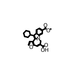 COC(=O)c1ccc2c(C3CCCCC3)c3n(c2c1)CC(C(=O)O)=Cc1occc1-3